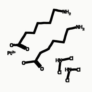 ClNCl.ClNCl.NCCCCCC(=O)[O-].NCCCCCC(=O)[O-].[Pt+2]